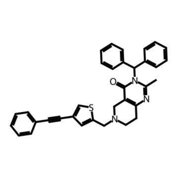 Cc1nc2c(c(=O)n1C(c1ccccc1)c1ccccc1)CN(Cc1cc(C#Cc3ccccc3)cs1)CC2